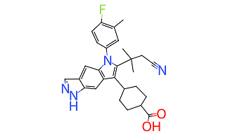 Cc1cc(-n2c(C(C)(C)CC#N)c(C3CCC(C(=O)O)CC3)c3cc4[nH]ncc4cc32)ccc1F